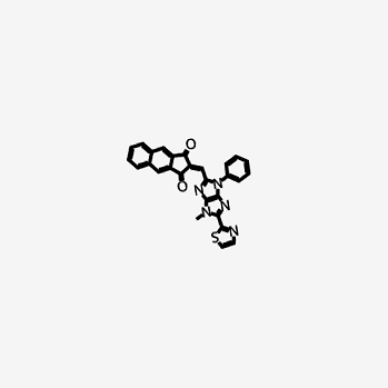 Cn1c(-c2nccs2)nc2c1nc(C=C1C(=O)c3cc4ccccc4cc3C1=O)n2-c1ccccc1